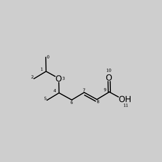 CC(C)OC(C)C/C=C/C(=O)O